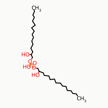 CCCCCCCCCCCCCCC(O)COP(=O)(O)OCC(O)CCCCCCCCCCCCCC